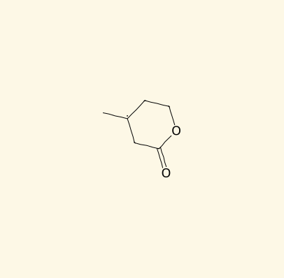 C[C]1CCOC(=O)C1